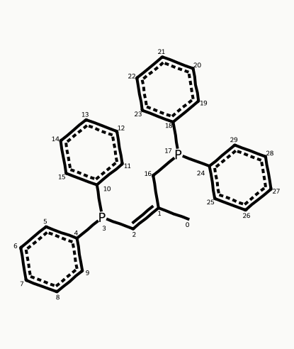 CC(=CP(c1ccccc1)c1ccccc1)CP(c1ccccc1)c1ccccc1